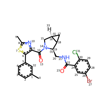 Cc1cccc(-c2sc(C)nc2C(=O)N2C[C@H]3CC3[C@H]2CNC(=O)c2cc(Br)ccc2Cl)c1